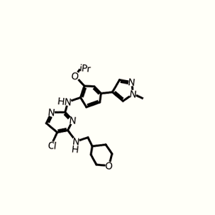 CC(C)Oc1cc(-c2cnn(C)c2)ccc1Nc1ncc(Cl)c(NCC2CCOCC2)n1